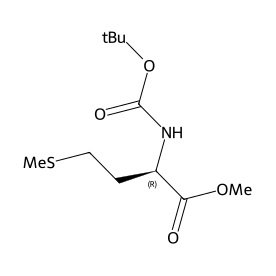 COC(=O)[C@@H](CCSC)NC(=O)OC(C)(C)C